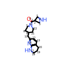 O=C(C1CNC1)N1CCC(Cc2ccc3c(n2)NCCC3)CC1